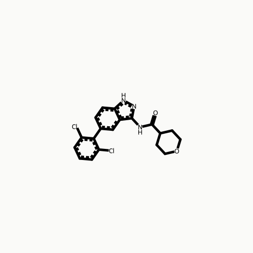 O=C(Nc1n[nH]c2ccc(-c3c(Cl)cccc3Cl)cc12)C1CCOCC1